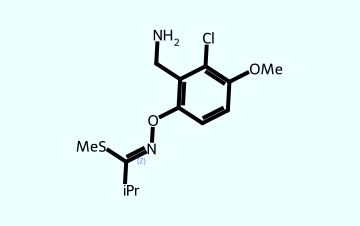 COc1ccc(O/N=C(\SC)C(C)C)c(CN)c1Cl